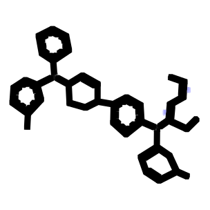 C/C=C\C=C(/CC)N(C1=CC=CC(C)C1)c1ccc(C2C=CC(N(c3ccccc3)c3cccc(C)c3)CC2)cc1